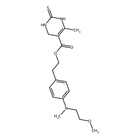 COCCN(C)c1ccc(CCOC(=O)C2=C(C)NC(=S)NC2)cc1